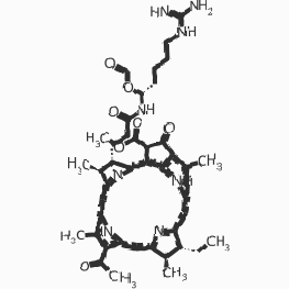 CC[C@H]1c2cc3[nH]c4c(c3C)C(=O)C(C(=O)OC)c4c3nc(cc4[nH]c(cc(n2)[C@@H]1C)c(C(C)=O)c4C)[C@@H](C)[C@@H]3CCC(=O)N[C@@H](CCCCNC(=N)N)OC=O